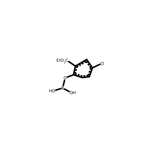 CCOC(=O)c1cc(Cl)ccc1OB(O)O